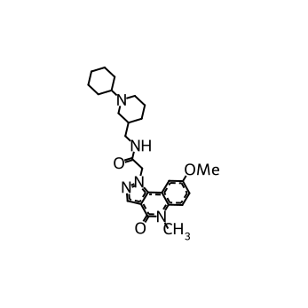 COc1ccc2c(c1)c1c(cnn1CC(=O)NCC1CCCN(C3CCCCC3)C1)c(=O)n2C